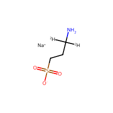 [2H]C([2H])(N)CCS(=O)(=O)[O-].[Na+]